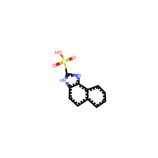 O=S(=O)(O)c1nc2c(ccc3ccccc32)[nH]1